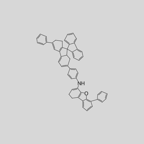 C1=C(c2ccccc2)CCC2=C1C1=CC=C(c3ccc(NC4=CCCc5c4oc4c(-c6ccccc6)cccc54)cc3)CC1C21c2ccccc2-c2ccccc21